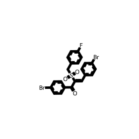 O=C(C(=Cc1ccc(Br)cc1)S(=O)(=O)Cc1ccc(F)cc1)c1ccc(Br)cc1